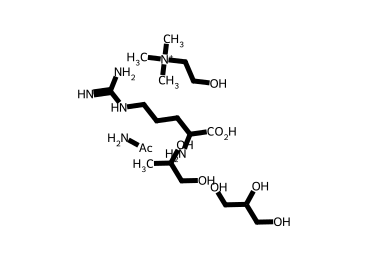 CC(N)=O.CC(O)CO.C[N+](C)(C)CCO.N=C(N)NCCCC(N)C(=O)O.OCC(O)CO